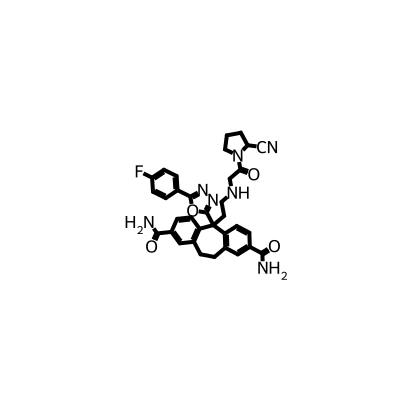 N#CC1CCCN1C(=O)CNCCC1(c2nnc(-c3ccc(F)cc3)o2)c2ccc(C(N)=O)cc2CCc2cc(C(N)=O)ccc21